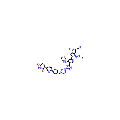 C=Nn1c(/C=C(\C)C#N)ccc1-c1cc(N[C@H]2CCOC2)c(-c2nnc(N3CCN(CC4CCN(c5ccc([C@H]6CCC(=O)NC6=O)cn5)CC4)CC3)s2)cn1